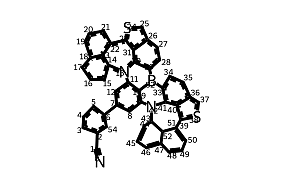 N#Cc1cccc(-c2cc3c4c(c2)-n2c5cccc6cccc(c7scc8ccc(c2c87)B4c2ccc4csc7c4c2N3C2C=CC=C3C=CC=C7C32)c65)c1